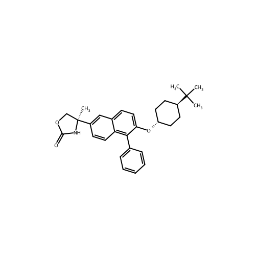 CC(C)(C)[C@H]1CC[C@H](Oc2ccc3cc([C@]4(C)COC(=O)N4)ccc3c2-c2ccccc2)CC1